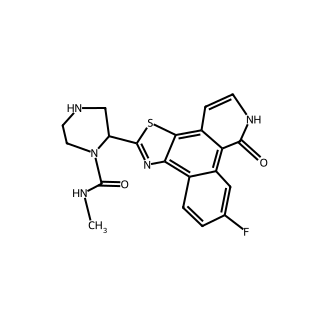 CNC(=O)N1CCNCC1c1nc2c3ccc(F)cc3c3c(=O)[nH]ccc3c2s1